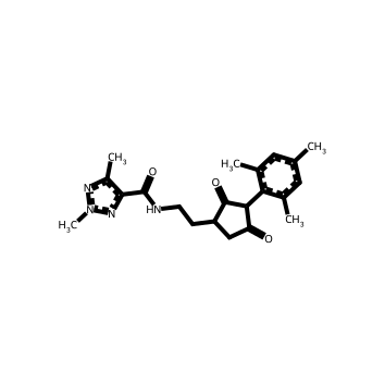 Cc1cc(C)c(C2C(=O)CC(CCNC(=O)c3nn(C)nc3C)C2=O)c(C)c1